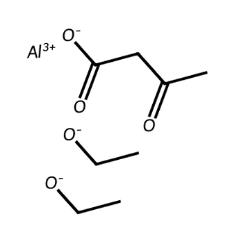 CC(=O)CC(=O)[O-].CC[O-].CC[O-].[Al+3]